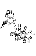 COc1ccc(CCC(NC(C)C(=O)N2CCSCC2(C)C(=O)O)C(=O)O)cc1OC